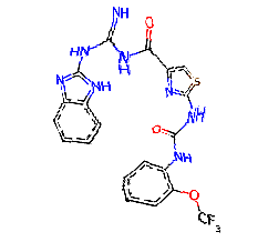 N=C(NC(=O)c1csc(NC(=O)Nc2ccccc2OC(F)(F)F)n1)Nc1nc2ccccc2[nH]1